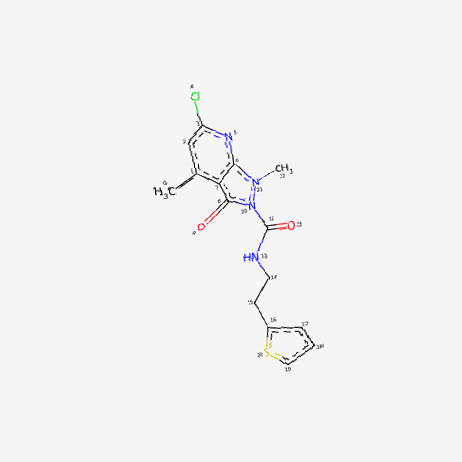 Cc1cc(Cl)nc2c1c(=O)n(C(=O)NCCc1cccs1)n2C